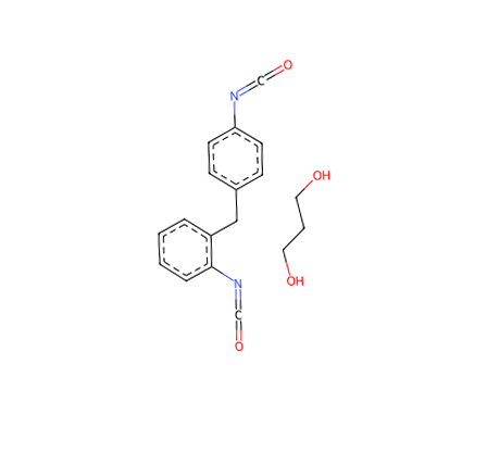 O=C=Nc1ccc(Cc2ccccc2N=C=O)cc1.OCCCO